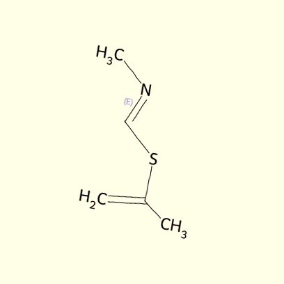 C=C(C)S/C=N/C